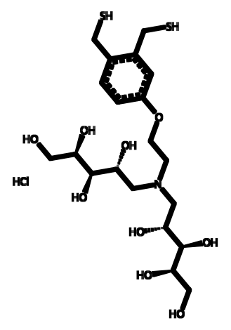 Cl.OC[C@@H](O)[C@H](O)[C@H](O)CN(CCOc1ccc(CS)c(CS)c1)C[C@@H](O)[C@@H](O)[C@H](O)CO